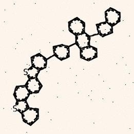 c1ccc2cc(-c3c4ccccc4c(-c4ccc(-c5ccc6sc7c(ccc8c7ccc7sc9ccccc9c78)c6c5)cc4)c4ccccc34)ccc2c1